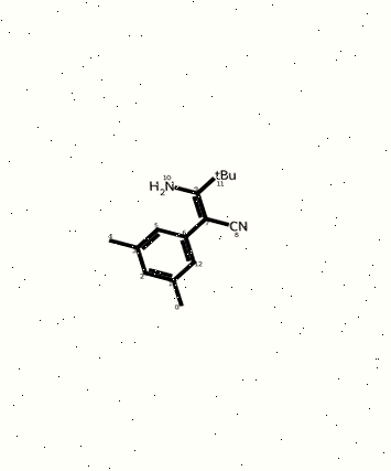 Cc1cc(C)cc(/C(C#N)=C(\N)C(C)(C)C)c1